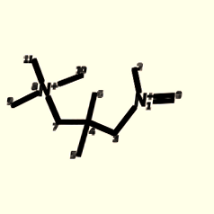 C=[N+](C)CC(C)(C)C[N+](C)(C)C